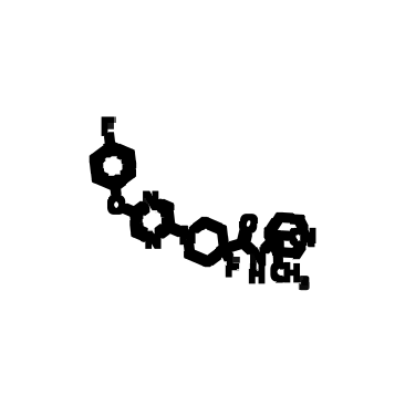 CC1(NC(=O)C2(F)CCN(c3cnc(Oc4ccc(F)cc4)cn3)CC2)CN2CCC1CC2